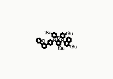 CC(C)(C)c1ccc2c(c1)N(c1ccc(-c3cccc4c3oc3ccccc34)cc1)c1cc(C(C)(C)C)cc3c1B2c1ccc(C(C)(C)C)cc1N3c1ccc(C(C)(C)C)c2ccccc12